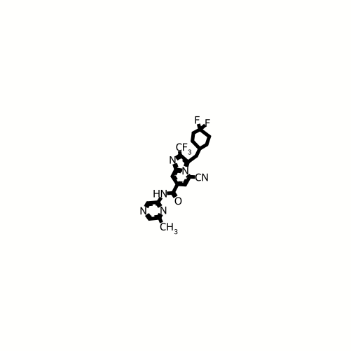 Cc1cncc(NC(=O)c2cc(C#N)n3c(CC4CCC(F)(F)CC4)c(C(F)(F)F)nc3c2)n1